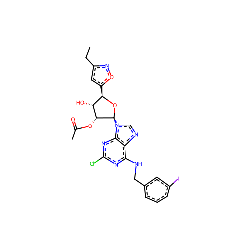 CCc1cc([C@H]2O[C@@H](n3cnc4c(NCc5cccc(I)c5)nc(Cl)nc43)[C@H](OC(C)=O)[C@@H]2O)on1